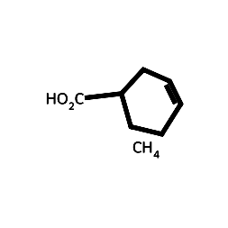 C.O=C(O)C1CC=CCC1